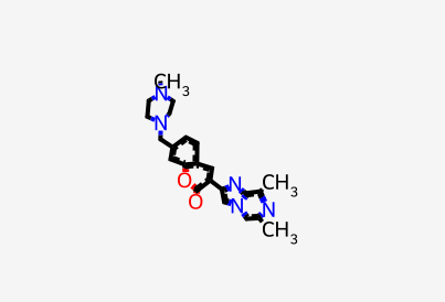 Cc1cn2cc(-c3cc4ccc(CN5CCN(C)CC5)cc4oc3=O)nc2c(C)n1